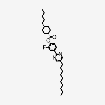 CCCCCCCCCCc1cnc(-c2ccc(OC(=O)[C@H]3CC[C@H](CCCCC)CC3)c(F)c2)nc1